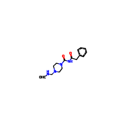 O=CNCN1CCN(C(=O)NC(=O)Cc2ccccc2)CC1